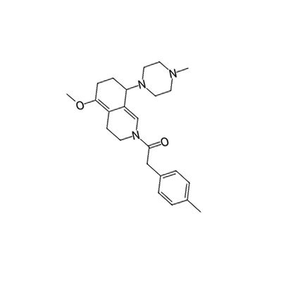 COC1=C2CCN(C(=O)Cc3ccc(C)cc3)C=C2C(N2CCN(C)CC2)CC1